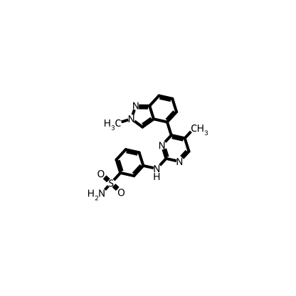 Cc1cnc(Nc2cccc(S(N)(=O)=O)c2)nc1-c1cccc2nn(C)cc12